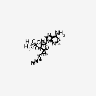 CC1(C)OC2[C@H](O1)C(n1cnc3c(N)ncnc31)O[C@@]21C[C@H]1CN=[N+]=[N-]